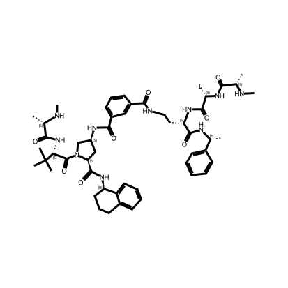 CN[C@@H](C)C(=O)N[C@@H](I)C(=O)N[C@@H](CCNC(=O)c1cccc(C(=O)N[C@H]2C[C@@H](C(=O)N[C@@H]3CCCc4ccccc43)N(C(=O)[C@@H](NC(=O)[C@H](C)NC)C(C)(C)C)C2)c1)C(=O)N[C@H](C)c1ccccc1